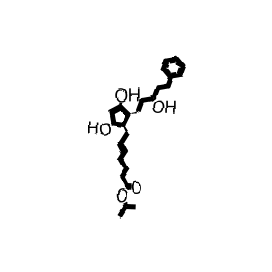 CC(C)OC(=O)CCCC=CC[C@@H]1[C@@H](CCC(O)CCc2ccccc2)[C@H](O)C[C@@H]1O